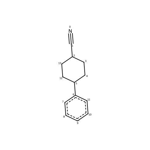 N#CC1CCC(c2cc[c]cc2)CC1